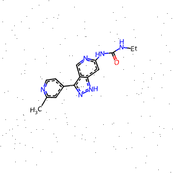 CCNC(=O)Nc1cc2[nH]nc(-c3ccnc(C)c3)c2cn1